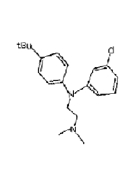 CN(C)CCN(c1ccc(C(C)(C)C)cc1)c1cccc(Cl)c1